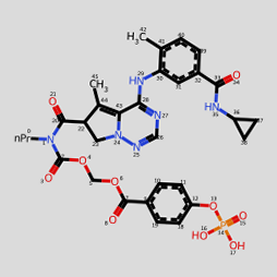 CCCN(C(=O)OCOC(=O)c1ccc(OP(=O)(O)O)cc1)C(=O)C1CN2N=CN=C(Nc3cc(C(=O)NC4CC4)ccc3C)C2=C1C